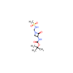 CC(C)(C)OC(=O)NC1CN(CNS(C)(=O)=O)C1=O